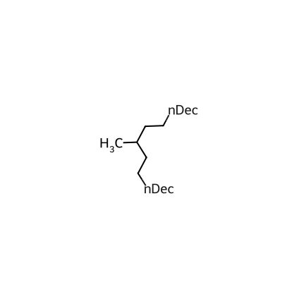 [CH2]CCCCCCCCCCCC(C)CCCCCCCCCCC[CH2]